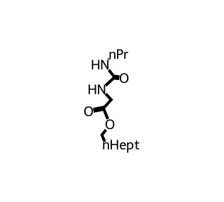 CCCCCCCCOC(=O)CNC(=O)NCCC